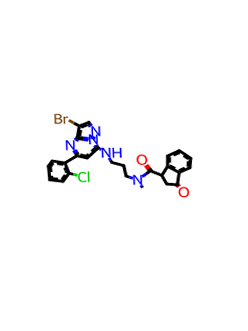 CN(CCCNc1cc(-c2ccccc2Cl)nc2c(Br)cnn12)C(=O)C1CC(=O)c2ccccc21